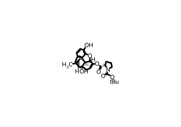 CN1CC[C@]23c4c5ccc(O)c4O[C@H]2C(OC(=O)[C@@H]2CCCN2C(=O)OC(C)(C)C)=CC[C@@]3(O)[C@H]1C5